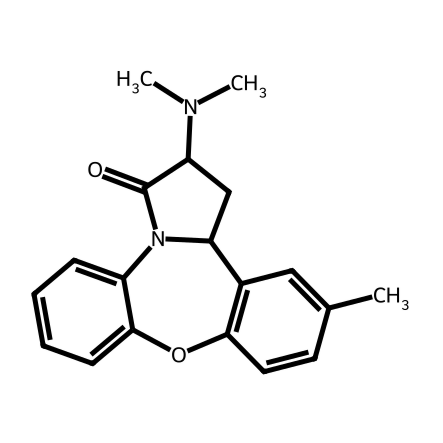 Cc1ccc2c(c1)C1CC(N(C)C)C(=O)N1c1ccccc1O2